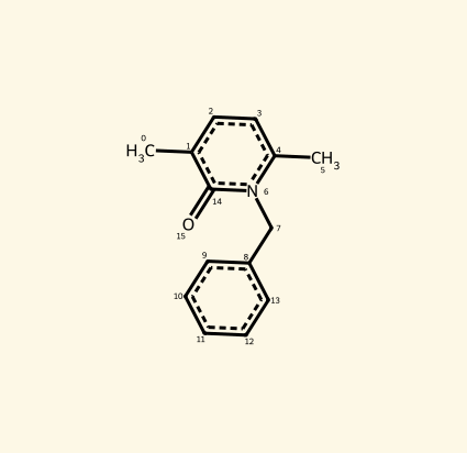 Cc1ccc(C)n(Cc2ccccc2)c1=O